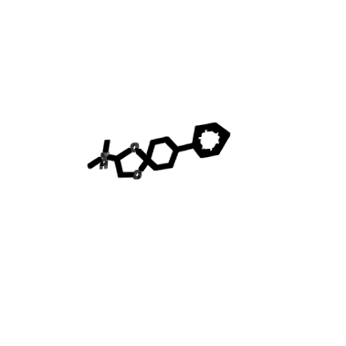 C[SiH](C)C1COC2(CCC(c3ccccc3)CC2)O1